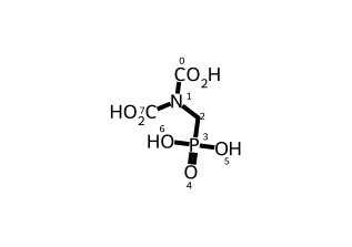 O=C(O)N(CP(=O)(O)O)C(=O)O